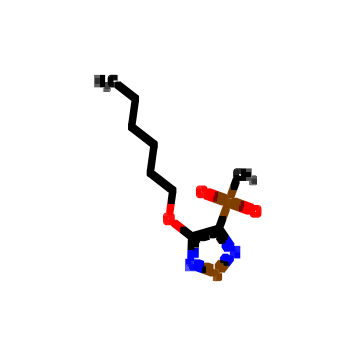 CCCCCCOc1nsnc1S(C)(=O)=O